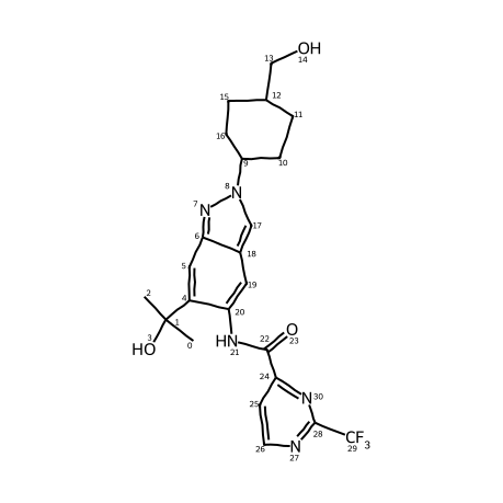 CC(C)(O)c1cc2nn(C3CCC(CO)CC3)cc2cc1NC(=O)c1ccnc(C(F)(F)F)n1